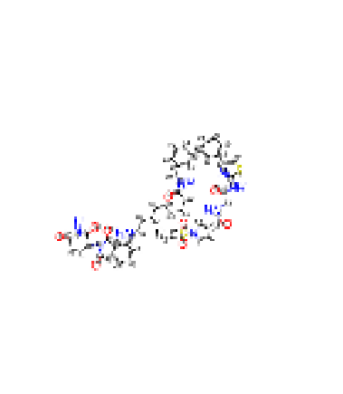 CS(=O)(=O)n1ccc(C(=O)NCC(=O)Nc2nc(-c3cccc(-c4cccc(CNC(=O)CCCCCCCCNc5cccc6c5C(=O)N(C5CCC(=O)NC5=O)C6=O)c4)c3)cs2)c1